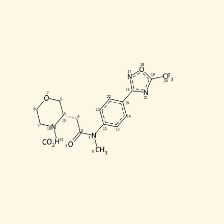 CN(C(=O)C[C@H]1COCCN1C(=O)O)c1ccc(-c2noc(C(F)(F)F)n2)cc1